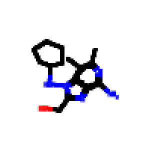 Cc1nc(N)c2nc(CO)n(NC3CCCCC3)c2c1C